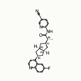 C[C@@H](C(=O)Nc1ccc(C#N)cn1)[C@H]1C[C@H]2C[C@@H](c3ccnc4ccc(F)cc34)C[C@H]2C1